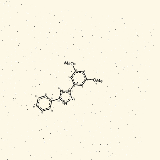 COc1cc(OC)cc(-n2nnc(-c3ccccc3)n2)c1